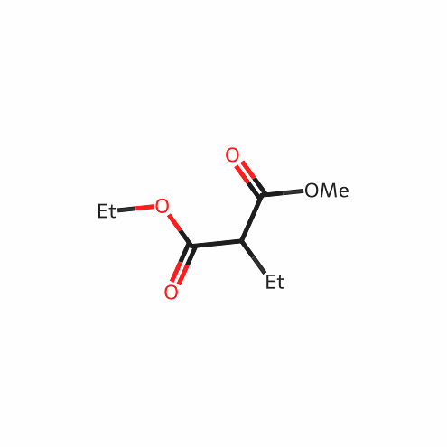 CCOC(=O)C(CC)C(=O)OC